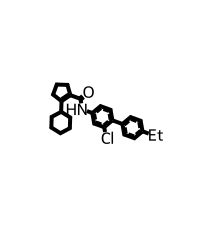 CCc1ccc(-c2ccc(NC(=O)C3=C(C4CCCCC4)CCC3)cc2Cl)cc1